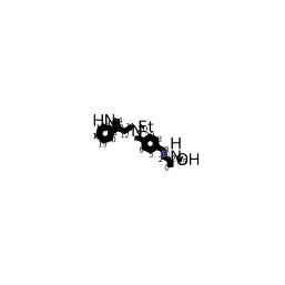 C=C(/C=C/c1ccc(CN(CC)CCc2c[nH]c3ccccc23)cc1)NO